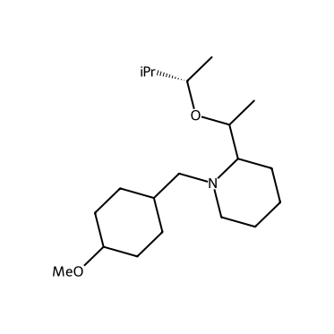 COC1CCC(CN2CCCCC2C(C)O[C@@H](C)C(C)C)CC1